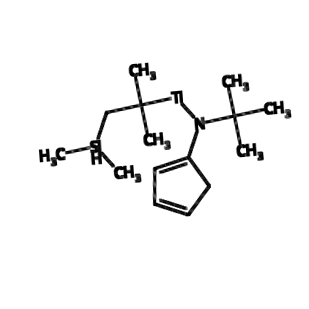 C[SiH](C)C[C](C)(C)[Ti][N](C1=CC=CC1)C(C)(C)C